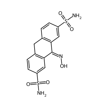 NS(=O)(=O)c1ccc2c(c1)C(=NO)c1cc(S(N)(=O)=O)ccc1C2